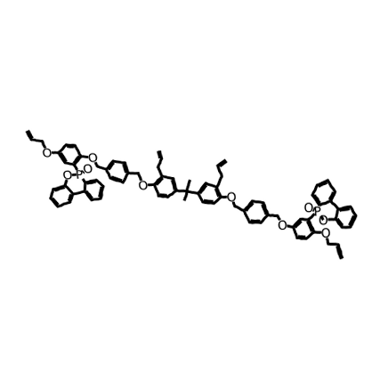 C=CCOc1ccc(OCc2ccc(COc3ccc(C(C)(C)c4ccc(OCc5ccc(COc6ccc(OCC=C)c(P7(=O)Oc8ccccc8-c8ccccc87)c6)cc5)c(CC=C)c4)cc3CC=C)cc2)c(P2(=O)Oc3ccccc3-c3ccccc32)c1